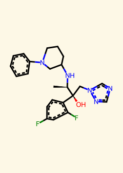 C[C@@H](NC1CCCN(c2ccccc2)C1)[C@](O)(Cn1cncn1)c1ccc(F)cc1F